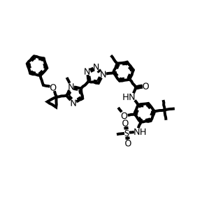 COc1c(NC(=O)c2ccc(C)c(-n3cc(-c4cnc(C5(OCc6ccccc6)CC5)n4C)nn3)c2)cc(C(C)(C)C)cc1NS(C)(=O)=O